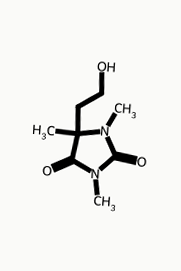 CN1C(=O)N(C)C(C)(CCO)C1=O